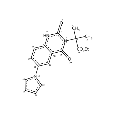 CCOC(=O)C(C)(C)n1c(=O)[nH]c2ccc(-n3cccc3)cc2c1=O